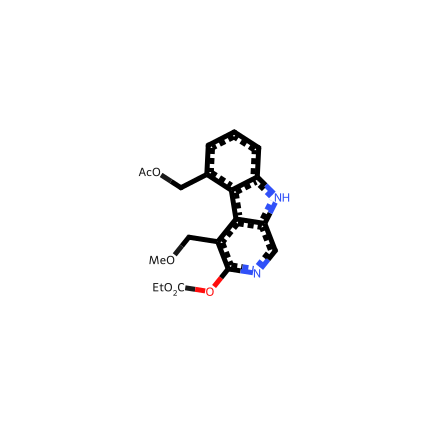 CCOC(=O)Oc1ncc2[nH]c3cccc(COC(C)=O)c3c2c1COC